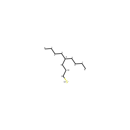 CCCCC(CCCC)CCC[S]